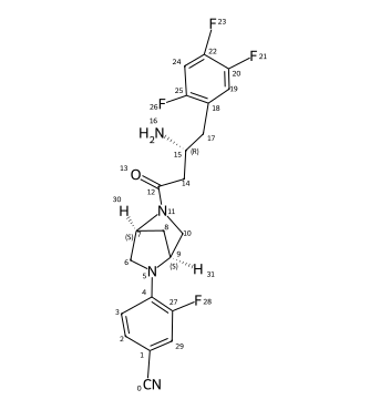 N#Cc1ccc(N2C[C@@H]3C[C@H]2CN3C(=O)C[C@H](N)Cc2cc(F)c(F)cc2F)c(F)c1